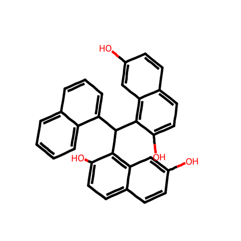 Oc1ccc2ccc(O)c(C(c3cccc4ccccc34)c3c(O)ccc4ccc(O)cc34)c2c1